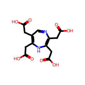 O=C(O)CC1=C(CC(=O)O)NC(CC(=O)O)=C(CC(=O)O)N=C1